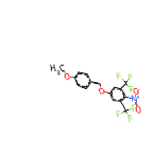 COc1ccc(COc2cc(C(F)(F)F)c([N+](=O)[O-])c(C(F)(F)F)c2)cc1